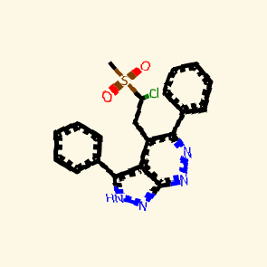 CS(=O)(=O)C(Cl)Cc1c(-c2ccccc2)nnc2n[nH]c(-c3ccccc3)c12